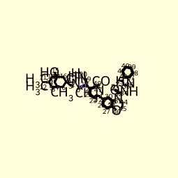 C/C(NCC1(C)CC2(C)CC(C)(C)CC(O)(C1)C2)=C(/C=N)c1ccc(-c2ccc3c(c2)N(C(=O)Nc2nc4ccccc4s2)CCO3)nc1C(=O)O